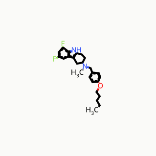 CCCCCOc1ccc(CN(C)C2CCc3[nH]c4c(F)cc(F)cc4c3C2)cc1